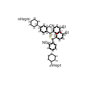 CCCCCCC[C@H]1CC[C@H](c2ccc(C(SC(c3ccc(CC)cc3)c3ccc([C@H]4CC[C@H](CCCCCCC)CC4)cc3C#N)c3ccc(CC)cc3)c(C#N)c2)CC1